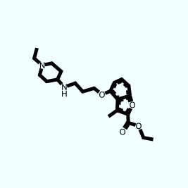 CCOC(=O)c1oc2cccc(OCCCNC3CCN(CC)CC3)c2c1C